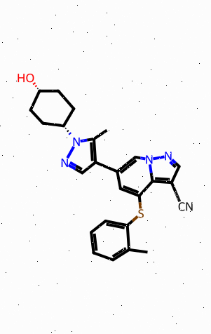 Cc1ccccc1Sc1cc(-c2cnn([C@H]3CC[C@@H](O)CC3)c2C)cn2ncc(C#N)c12